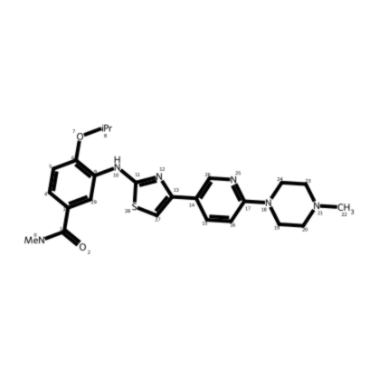 CNC(=O)c1ccc(OC(C)C)c(Nc2nc(-c3ccc(N4CCN(C)CC4)nc3)cs2)c1